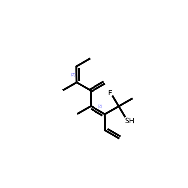 C=C/C(=C(\C)C(=C)/C(C)=C\C)C(C)(F)S